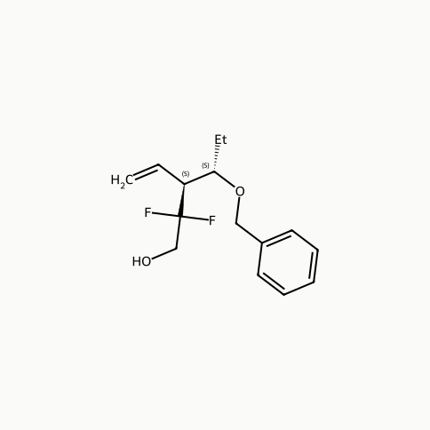 C=C[C@@H]([C@H](CC)OCc1ccccc1)C(F)(F)CO